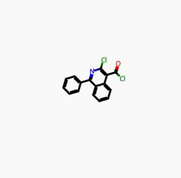 O=C(Cl)c1c(Cl)nc(-c2ccccc2)c2ccccc12